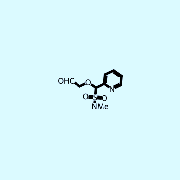 CNS(=O)(=O)C(OCC=O)c1ccccn1